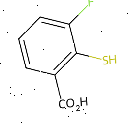 O=C(O)c1cccc(F)c1S